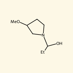 CCC(O)N1CCC(OC)C1